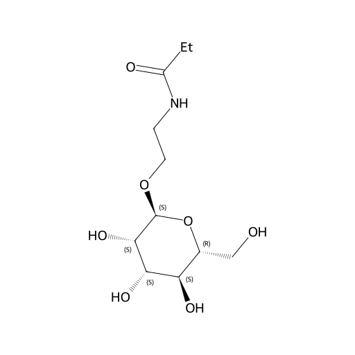 CCC(=O)NCCO[C@H]1O[C@H](CO)[C@@H](O)[C@H](O)[C@@H]1O